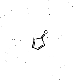 O=C1B=CC=C1